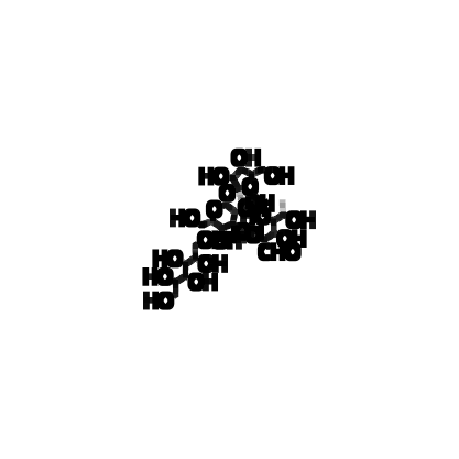 C[C@H](O)[C@H](O)[C@@H](O)[C@@H](O)C=O.OC[C@@H](O)[C@@H](O)[C@H](O)[C@@H](O)CO.OC[C@H]1O[C@@](CO)(O[C@H]2O[C@H](CO)[C@@H](O)[C@H](O)[C@H]2O)[C@@H](O)[C@@H]1O